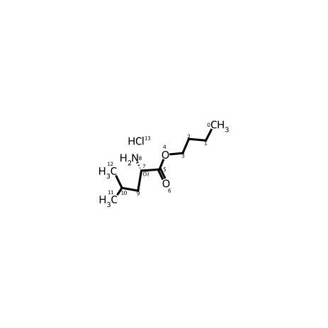 CCCCOC(=O)[C@@H](N)CC(C)C.Cl